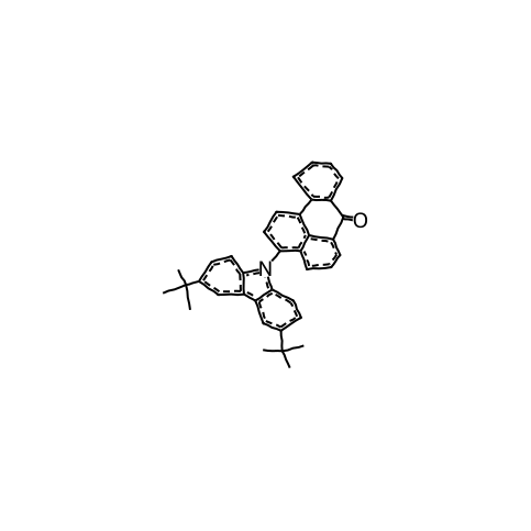 CC(C)(C)c1ccc2c(c1)c1cc(C(C)(C)C)ccc1n2-c1ccc2c3c(cccc13)C(=O)c1ccccc1-2